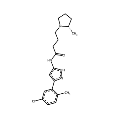 Cc1ccc(Cl)cc1-c1cc(NC(=O)CCCN2CCC[C@@H]2C)[nH]n1